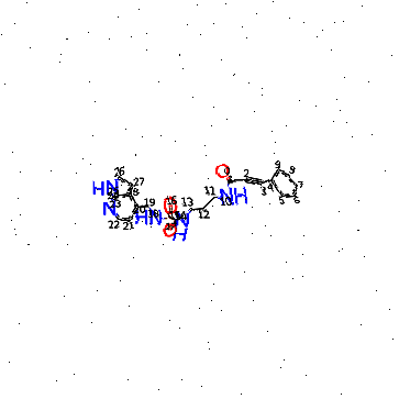 O=C(C#Cc1ccccc1)NCCCNS(=O)(=O)NCc1ccnc2[nH]ccc12